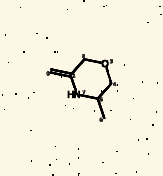 C=C1COCC(C)N1